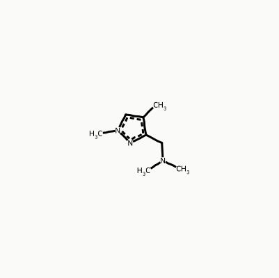 Cc1cn(C)nc1CN(C)C